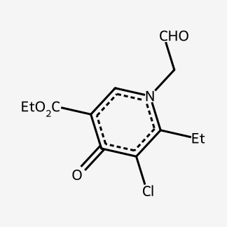 CCOC(=O)c1cn(CC=O)c(CC)c(Cl)c1=O